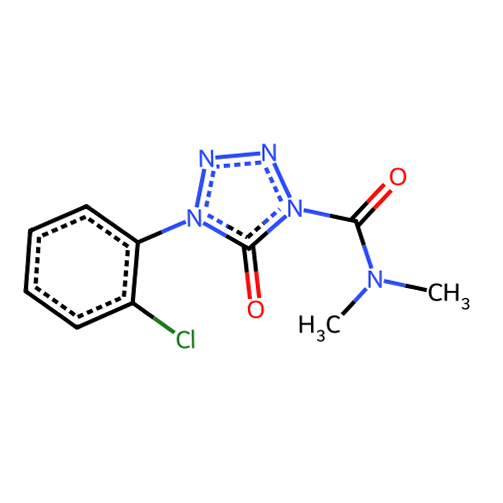 CN(C)C(=O)n1nnn(-c2ccccc2Cl)c1=O